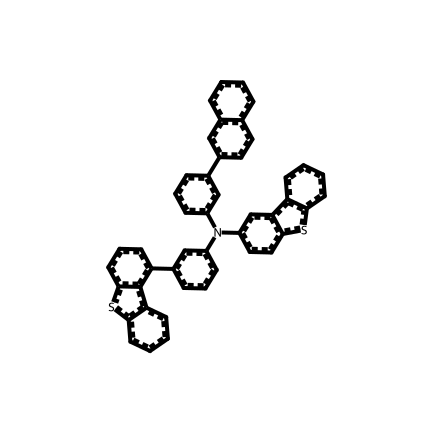 c1cc(-c2ccc3ccccc3c2)cc(N(c2cccc(-c3cccc4sc5ccccc5c34)c2)c2ccc3sc4ccccc4c3c2)c1